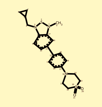 CN1SN(CC2CC2)c2ccc(-c3ccc(N4CCS(=O)(=O)CC4)cc3)cc21